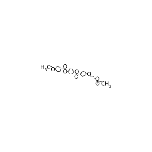 C=CC(=O)OCCCOc1ccc(C(=O)OC2=CC=C(OC(=O)c3ccc(OCC)cc3)CC2)cc1